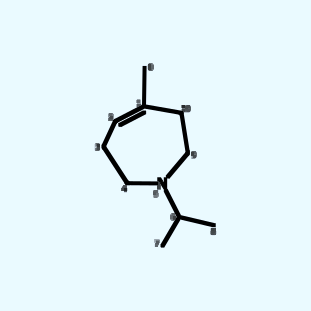 CC1=CCCN(C(C)C)CC1